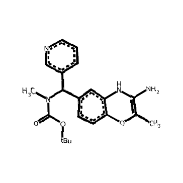 CC1=C(N)Nc2cc(C(c3cccnc3)N(C)C(=O)OC(C)(C)C)ccc2O1